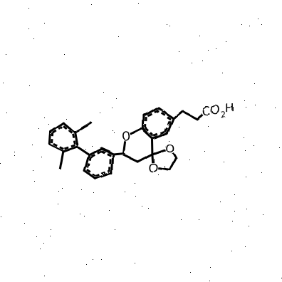 Cc1cccc(C)c1-c1cccc(C2CC3(OCCO3)c3cc(CCC(=O)O)ccc3O2)c1